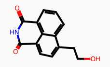 O=C1NC(=O)c2ccc(CCO)c3cccc1c23